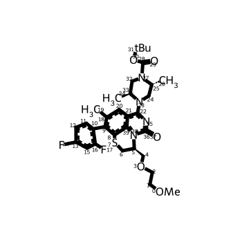 COCCOC[C@H]1CSc2c(-c3ccc(F)cc3F)c(C)cc3c(N4C[C@@H](C)N(C(=O)OC(C)(C)C)C[C@@H]4C)nc(=O)n1c23